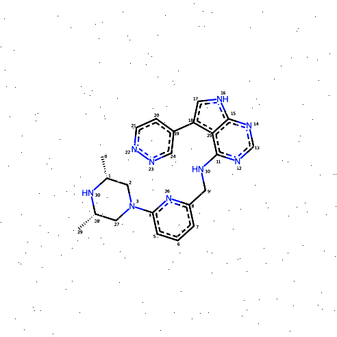 C[C@@H]1CN(c2cccc(CNc3ncnc4[nH]cc(-c5ccnnc5)c34)n2)C[C@H](C)N1